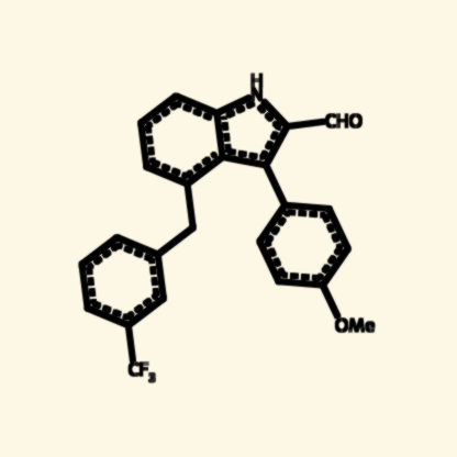 COc1ccc(-c2c(C=O)[nH]c3cccc(Cc4cccc(C(F)(F)F)c4)c23)cc1